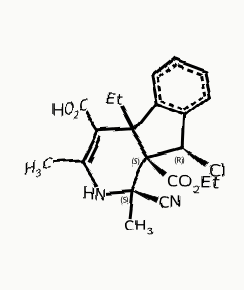 CCOC(=O)[C@]12[C@H](Cl)c3ccccc3C1(CC)C(C(=O)O)=C(C)N[C@]2(C)C#N